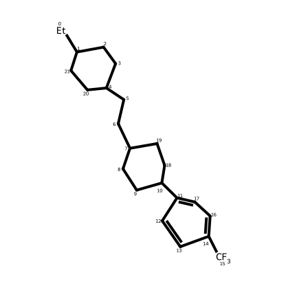 CCC1CCC(CCC2CCC(c3ccc(C(F)(F)F)cc3)CC2)CC1